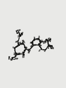 O=C1CCc2c(cccc2Oc2cc(CNCl)cc(C(F)(F)F)n2)N1